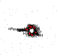 CCCCCOc1ccc(-c2ccc(-c3ccc(C(=O)N[C@H]4C[C@@H](O)C(OC(CO)CO)NC(=O)C5[C@@H](O)[C@@H](C)CN5C(=O)C([C@@H](C)O)NC(=O)C([C@H](O)[C@@H](O)c5ccc(O)cc5)NC(=O)C5C[C@@H](O)CN5C(=O)C([C@@H](C)O)NC4=O)cc3)cc2)cc1